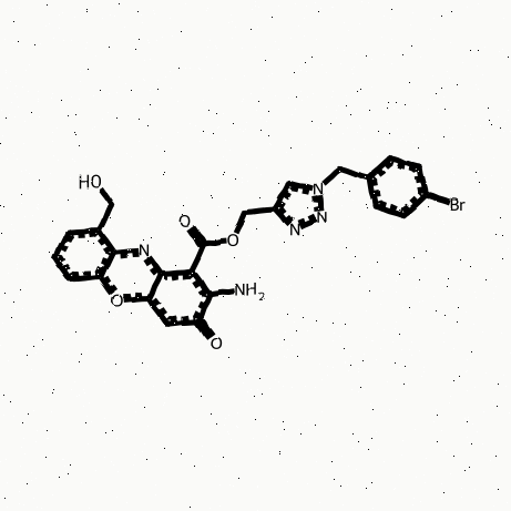 Nc1c(C(=O)OCc2cn(Cc3ccc(Br)cc3)nn2)c2nc3c(CO)cccc3oc-2cc1=O